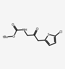 CC(C)(C)OC(=O)NCC(=O)Cc1ccc(Cl)s1